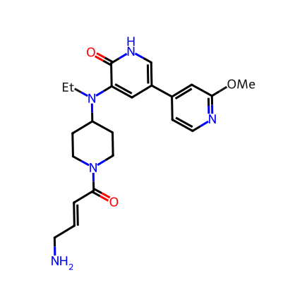 CCN(c1cc(-c2ccnc(OC)c2)c[nH]c1=O)C1CCN(C(=O)/C=C/CN)CC1